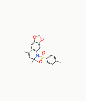 CC1=CC(C)(C)N(S(=O)(=O)c2ccc(C)cc2)c2cc3c(cc21)OCO3